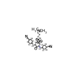 CN(C)CCCCS(=O)(=O)N1C/C(=C\c2ccc(C#N)cc2)C(=O)C(Cc2ccc(C#N)cc2)C1